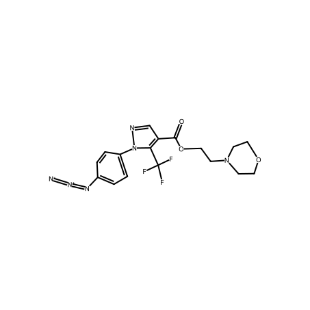 [N-]=[N+]=Nc1ccc(-n2ncc(C(=O)OCCN3CCOCC3)c2C(F)(F)F)cc1